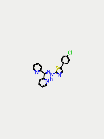 Clc1ccc(-c2cnc(NN=C(c3ccccn3)c3ccccn3)s2)cc1